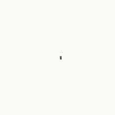 [Cs].[In].[O]=[Sn].[W]